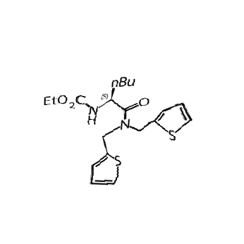 [CH2]CCC[C@H](NC(=O)OCC)C(=O)N(Cc1cccs1)Cc1cccs1